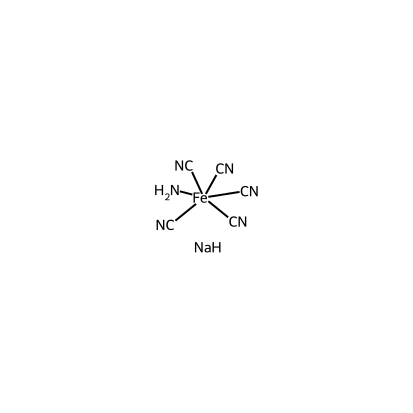 N#[C][Fe]([NH2])([C]#N)([C]#N)([C]#N)[C]#N.[NaH]